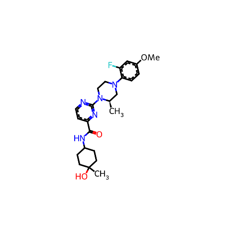 COc1ccc(N2CCN(c3nccc(C(=O)NC4CCC(C)(O)CC4)n3)[C@H](C)C2)c(F)c1